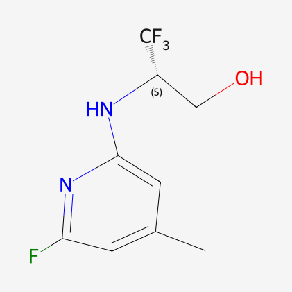 Cc1cc(F)nc(N[C@@H](CO)C(F)(F)F)c1